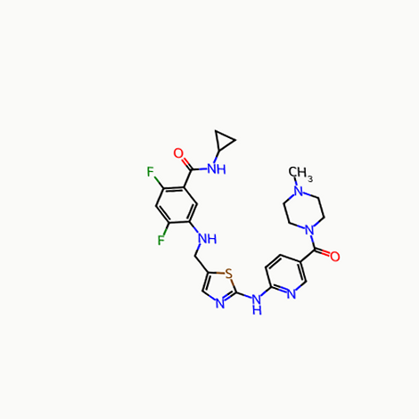 CN1CCN(C(=O)c2ccc(Nc3ncc(CNc4cc(C(=O)NC5CC5)c(F)cc4F)s3)nc2)CC1